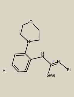 CC/N=C(/Nc1ccccc1N1CCOCC1)SC.I